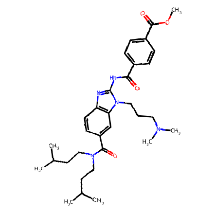 COC(=O)c1ccc(C(=O)Nc2nc3ccc(C(=O)N(CCC(C)C)CCC(C)C)cc3n2CCCN(C)C)cc1